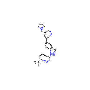 FC(F)(F)c1ccc(-n2ncc3cc(-c4cncc(CN5CCCC5)c4)ccc32)cn1